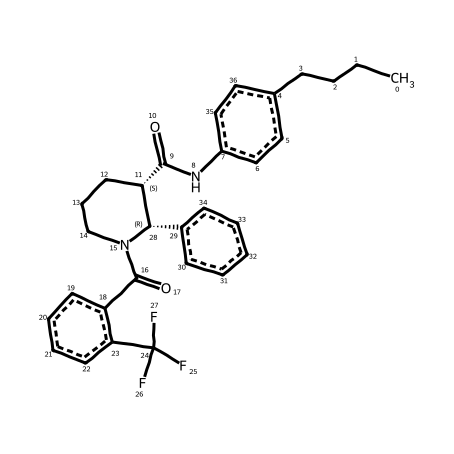 CCCCc1ccc(NC(=O)[C@H]2CCCN(C(=O)c3ccccc3C(F)(F)F)[C@H]2c2ccccc2)cc1